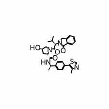 Cc1ncsc1-c1ccc([C@@H](C)NC(=O)[C@@H]2C[C@@H](O)CN2C(=O)[C@@H](C(C)C)N2Cc3ccccc3C2=O)cc1